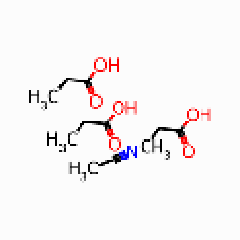 CC#N.CCC(=O)O.CCC(=O)O.CCC(=O)O